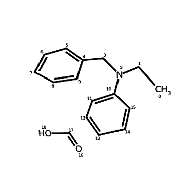 CCN(Cc1ccccc1)c1ccccc1.O=CO